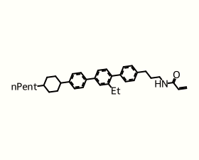 C=CC(=O)NCCCc1ccc(-c2ccc(-c3ccc(C4CCC(CCCCC)CC4)cc3)cc2CC)cc1